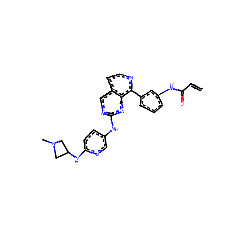 C=CC(=O)Nc1cccc(-c2nccc3cnc(Nc4ccc(NC5CN(C)C5)nc4)nc23)c1